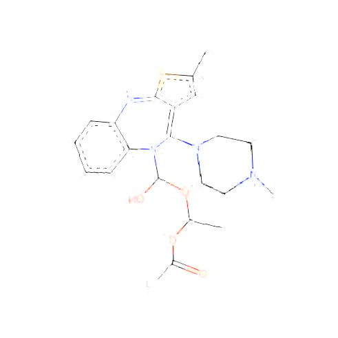 CCC(=O)OC(C)OC(O)N1C(N2CCN(C)CC2)=c2cc(C)sc2=Nc2ccccc21